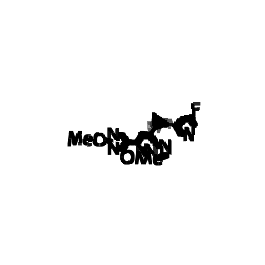 COc1ncc(-c2cc([C@H]3C[C@@H]3c3cncc(F)c3)c3nccn3n2)c(OC)n1